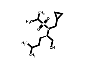 CC(C)CC[C@H](CO)N(CC1CC1)S(=O)(=O)C(C)C